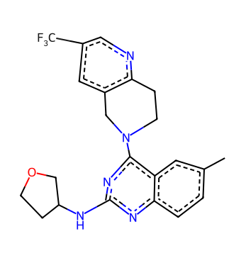 Cc1ccc2nc(NC3CCOC3)nc(N3CCc4ncc(C(F)(F)F)cc4C3)c2c1